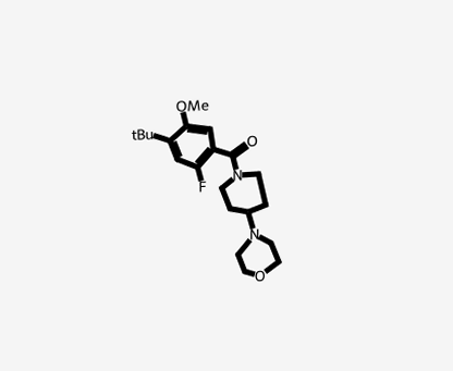 COc1cc(C(=O)N2CCC(N3CCOCC3)CC2)c(F)cc1C(C)(C)C